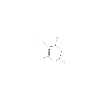 CC1OC(=O)CC(O)=C1O